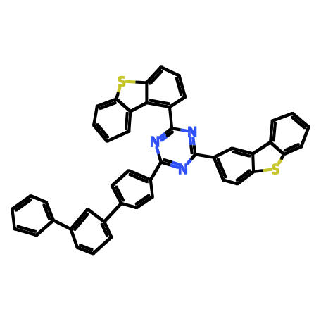 c1ccc(-c2cccc(-c3ccc(-c4nc(-c5ccc6sc7ccccc7c6c5)nc(-c5cccc6sc7ccccc7c56)n4)cc3)c2)cc1